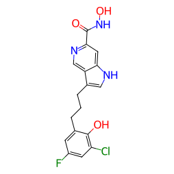 O=C(NO)c1cc2[nH]cc(CCCc3cc(F)cc(Cl)c3O)c2cn1